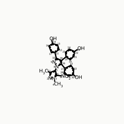 Cc1nn(C)c([N+](=O)[O-])c1-n1nc(-c2ccc(O)cc2)c(-c2ccc(O)cc2)c1-c1ccc(O)cc1